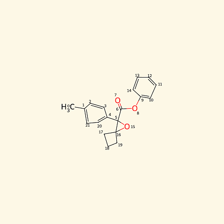 Cc1ccc(C2(C(=O)Oc3ccccc3)OC23CCC3)cc1